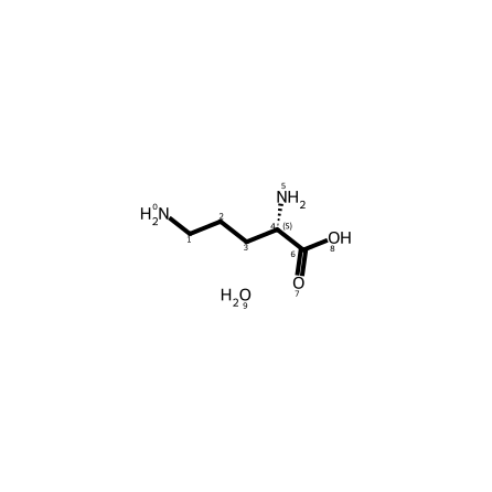 NCCC[C@H](N)C(=O)O.O